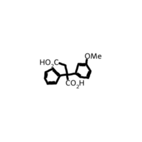 COc1cccc(C(CC(=O)O)(C(=O)O)c2ccccc2)c1